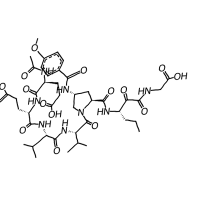 CCC[C@H](NC(=O)[C@@H]1C[C@@H](NC(=O)c2ccc(OC)cc2)CN1C(=O)[C@@H](NC(=O)[C@@H](NC(=O)[C@H](CCC(=O)O)NC(=O)[C@H](CCC(=O)O)NC(C)=O)C(C)C)C(C)C)C(=O)C(=O)NCC(=O)O